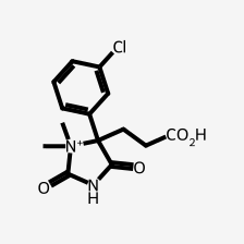 C[N+]1(C)C(=O)NC(=O)C1(CCC(=O)O)c1cccc(Cl)c1